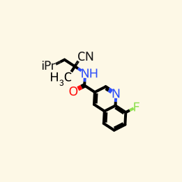 CC(C)CC(C)(C#N)NC(=O)c1cnc2c(F)cccc2c1